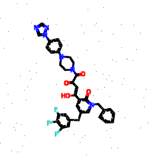 O=C(C=C(O)c1cc(Cc2cc(F)c(F)c(F)c2)cn(Cc2ccccc2)c1=O)C(=O)N1CCN(c2ccc(-n3cncn3)cc2)CC1